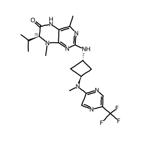 Cc1nc(N[C@H]2C[C@H](N(C)c3cnc(C(F)(F)F)cn3)C2)nc2c1NC(=O)[C@H](C(C)C)N2C